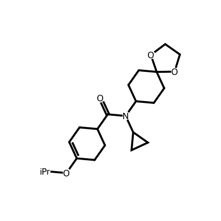 CC(C)OC1=CCC(C(=O)N(C2CC2)C2CCC3(CC2)OCCO3)CC1